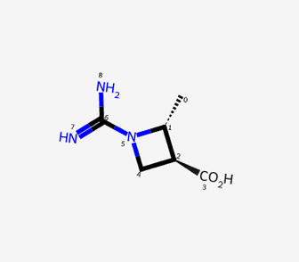 C[C@@H]1[C@@H](C(=O)O)CN1C(=N)N